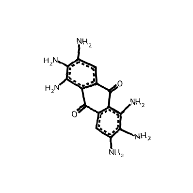 Nc1cc2c(c(N)c1N)C(=O)c1cc(N)c(N)c(N)c1C2=O